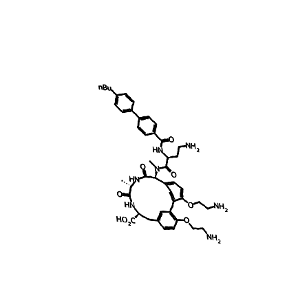 CCCCc1ccc(-c2ccc(C(=O)N[C@@H](CCN)C(=O)N(C)[C@@H]3C(=O)N[C@@H](C)C(=O)N[C@H](C(=O)O)Cc4ccc(OCCN)c(c4)-c4cc3ccc4OCCN)cc2)cc1